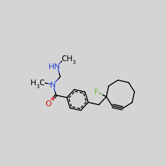 CNCN(C)C(=O)c1ccc(CC2(F)C#CCCCCC2)cc1